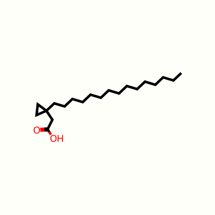 CCCCCCCCCCCCCCCC1(CC(=O)O)CC1